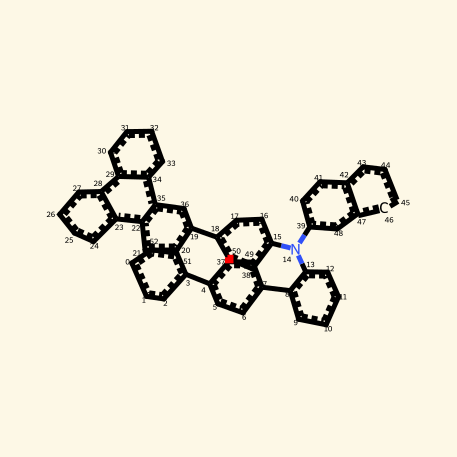 c1ccc(-c2ccc(-c3ccccc3N(c3ccc(-c4ccc5c6ccccc6c6ccccc6c5c4)cc3)c3ccc4ccccc4c3)cc2)cc1